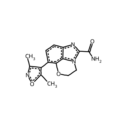 Cc1noc(C)c1-c1ccc2nc(C(N)=O)n3c2c1OCC3